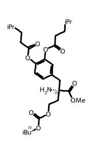 CC[C@H](C)OC(=O)OCC[C@@](N)(Cc1ccc(OC(=O)CCC(C)C)c(OC(=O)CCC(C)C)c1)C(=O)OC